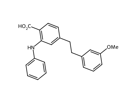 COc1cccc(CCc2ccc(C(=O)O)c(Nc3ccccc3)c2)c1